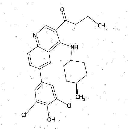 CCCC(=O)c1cnc2ccc(-c3cc(Cl)c(O)c(Cl)c3)cc2c1N[C@H]1CC[C@H](C)CC1